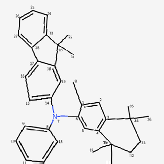 Cc1cc2c(cc1N(c1ccccc1)c1ccc3c(c1)C(C)(C)c1ccccc1-3)C(C)(C)CCC2(C)C